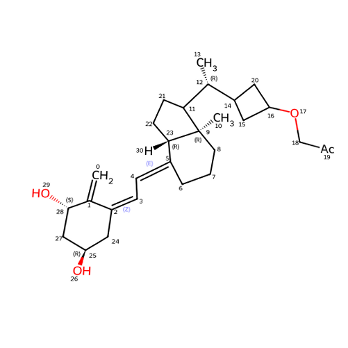 C=C1/C(=C\C=C2/CCC[C@]3(C)C([C@H](C)C4CC(OCC(C)=O)C4)CC[C@@H]23)C[C@@H](O)C[C@@H]1O